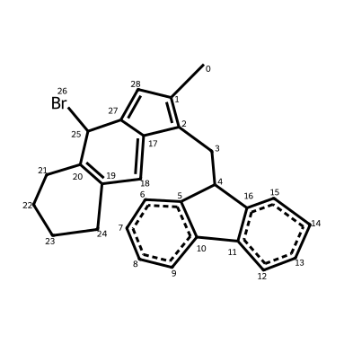 CC1=C(CC2c3ccccc3-c3ccccc32)C2=CC3=C(CCCC3)C(Br)C2=C1